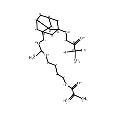 C=C(C)C(=O)OCCCCOC(C)OCC12CC3CC(C1)CC(OCC(=O)C(C)(F)F)(C3)C2